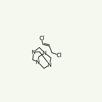 C1N2CN3CN1CN(C2)C3.ClC=CCCl